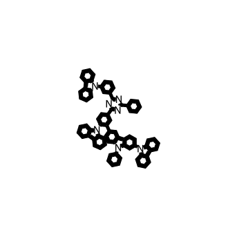 c1ccc(-c2nc(-c3cccc(-n4c5ccccc5c5ccccc54)c3)nc(-c3ccc(-n4c5ccccc5c5ccccc54)c(-c4ccc5c(c4)c4ccc(-n6c7ccccc7c7ccccc76)cc4n5-c4ccccc4)c3)n2)cc1